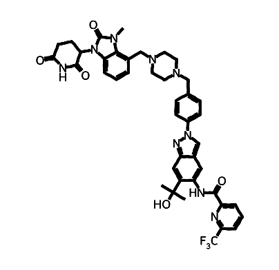 Cn1c(=O)n(C2CCC(=O)NC2=O)c2cccc(CN3CCN(Cc4ccc(-n5cc6cc(NC(=O)c7cccc(C(F)(F)F)n7)c(C(C)(C)O)cc6n5)cc4)CC3)c21